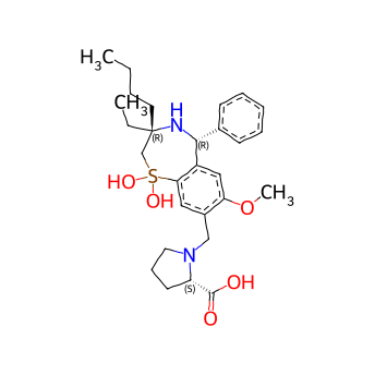 CCCC[C@]1(CC)CS(O)(O)c2cc(CN3CCC[C@H]3C(=O)O)c(OC)cc2[C@@H](c2ccccc2)N1